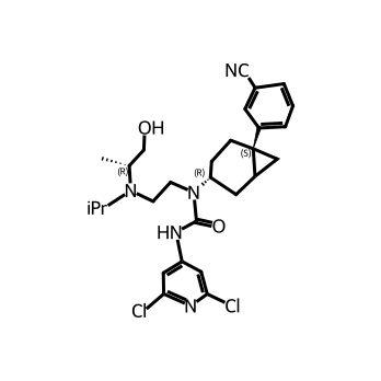 CC(C)N(CCN(C(=O)Nc1cc(Cl)nc(Cl)c1)[C@@H]1CC[C@]2(c3cccc(C#N)c3)CC2C1)[C@H](C)CO